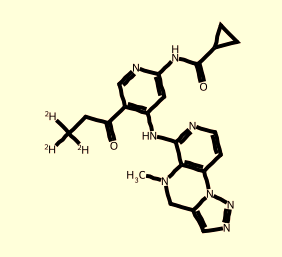 [2H]C([2H])([2H])CC(=O)c1cnc(NC(=O)C2CC2)cc1Nc1nccc2c1N(C)Cc1cnnn1-2